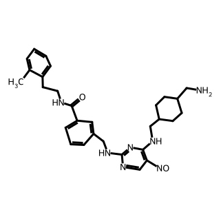 Cc1ccccc1CCNC(=O)c1cccc(CNc2ncc(N=O)c(NCC3CCC(CN)CC3)n2)c1